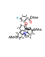 COC(=O)c1ccc(F)cc1Oc1cccc([N+](C)(c2ccc(OC)cc2)c2ccc(OC)cc2)c1[N+](=O)[O-]